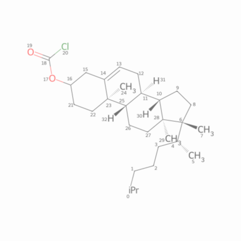 CC(C)CCC[C@@H](C)[C@@]1(C)CC[C@H]2[C@@H]3CC=C4CC(OC(=O)Cl)CC[C@]4(C)[C@H]3CC[C@@]21C